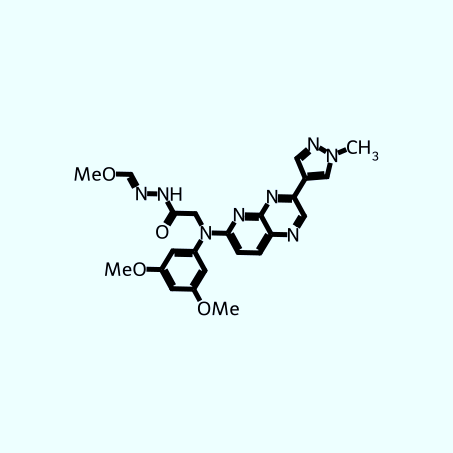 CO/C=N/NC(=O)CN(c1cc(OC)cc(OC)c1)c1ccc2ncc(-c3cnn(C)c3)nc2n1